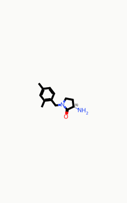 Cc1ccc(CN2CC[C@H](N)C2=O)c(C)c1